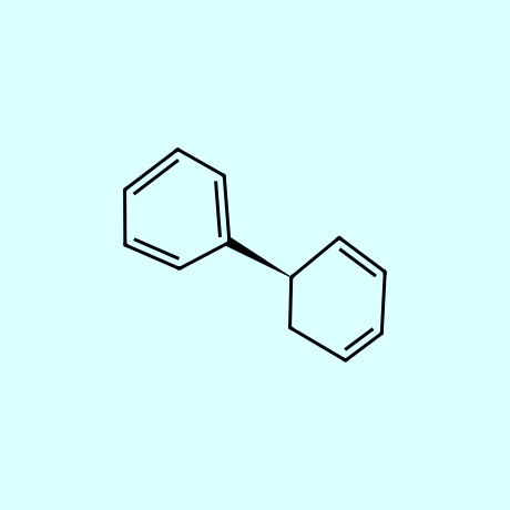 C1=CC[C@@H](c2ccccc2)C=C1